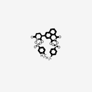 Cc1ccc(S(=O)(=O)ON2C(=O)c3cccc4cc(C5CCC(=O)N(OS(=O)(=O)c6ccc(C)cc6)C5=O)cc(c34)C2=O)cc1